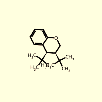 CC(C)(C)[C@@H]1COc2ccccc2[C@@H]1C(C)(C)C